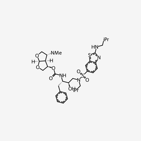 CN[C@H]1CO[C@@H]2OC[C@H](OC(=O)N[C@@H](Cc3ccccc3)[C@H](O)CN(CC(C)C)S(=O)(=O)c3ccc4nc(NCC(C)C)sc4c3)[C@@H]21